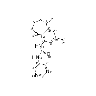 CC1CCCOc2c(NC(=O)Nc3cncnc3)cc(Br)cc21